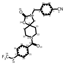 N#Cc1ccc(CN2CC3(CCN(C(=O)c4ccc(SC(F)(F)F)cc4)CC3)OC2=O)cc1